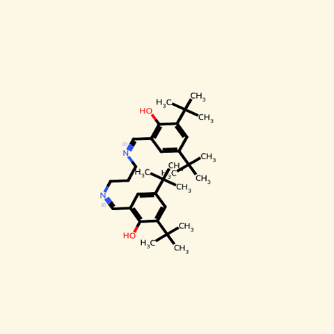 CC(C)(C)c1cc(/C=N\CCC/N=C\c2cc(C(C)(C)C)cc(C(C)(C)C)c2O)c(O)c(C(C)(C)C)c1